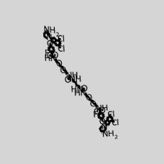 N[C@@H]1CCCN([C@H]2Cc3c(Cl)cc(Cl)cc3[C@@H]2Oc2ccc(S(=O)(=O)NCCOCCOCCNC(=O)NCCCCNC(=O)NCCOCCOCCNS(=O)(=O)c3ccc(O[C@H]4c5cc(Cl)cc(Cl)c5C[C@@H]4N4CCC[C@@H](N)C4)cc3F)c(F)c2)C1